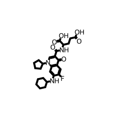 O=C(O)CCC(NC(=O)c1cn(C2CCCC2)c2cc(NC3CCCCC3)c(F)cc2c1=O)C(=O)O